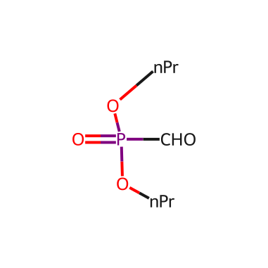 CCCOP(=O)(C=O)OCCC